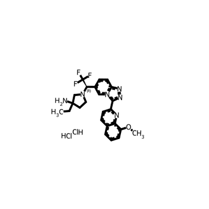 CCC1(N)CCN([C@H](c2ccc3nnc(-c4ccc5cccc(OC)c5n4)n3c2)C(F)(F)F)C1.Cl.Cl